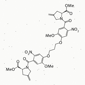 C=C1C[C@@H](C(=O)OC)N(C(=O)c2cc(OC)c(OCCCOc3cc([N+](=O)[O-])c(C(=O)N4CC(=C)C[C@H]4C(=O)OC)cc3OC)cc2[N+](=O)[O-])C1